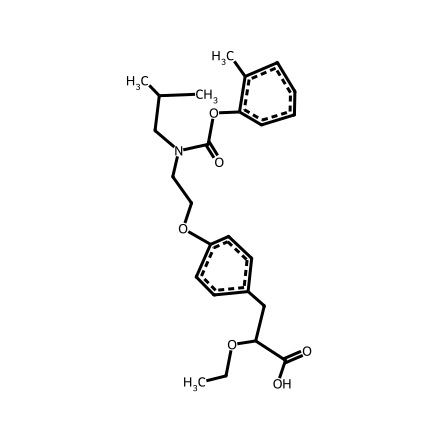 CCOC(Cc1ccc(OCCN(CC(C)C)C(=O)Oc2ccccc2C)cc1)C(=O)O